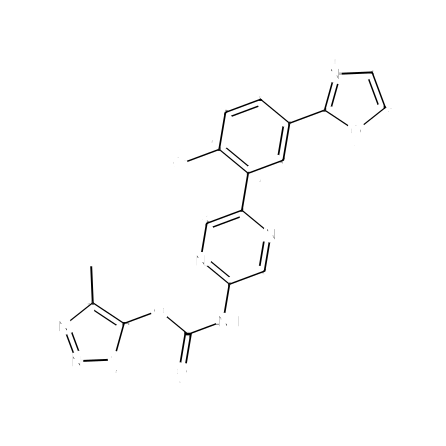 Cc1nnsc1OC(=O)Nc1cnc(-c2cc(-c3ncco3)ccc2Cl)cn1